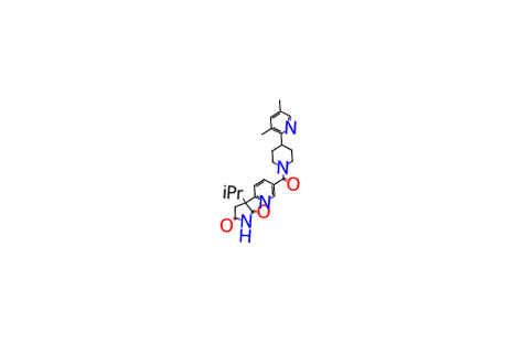 Cc1cnc(C2CCN(C(=O)c3ccc(C4(C(C)C)CC(=O)NC4=O)nc3)CC2)c(C)c1